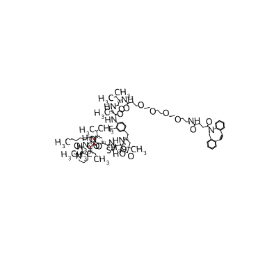 CCCCCCN(C(=O)[C@@H](NC(=O)[C@H]1CCCCN1C)[C@@H](C)CC)[C@H](C[C@@H](OC(C)=O)c1nc(C(=O)N[C@@H](Cc2ccc(NC(=O)[C@H](C)NC(=O)[C@@H](NC(=O)CCOCCOCCOCCOCCNC(=O)CCC(=O)N3Cc4ccccc4C#Cc4ccccc43)C(C)C)c(F)c2)CC(C)(C)C(=O)O)cs1)C(C)C